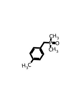 Cc1ccc(CP(C)(C)=O)cc1